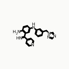 N=C(c1ccncc1)c1cc(Nc2cccc(Cn3cncn3)c2)ccc1N